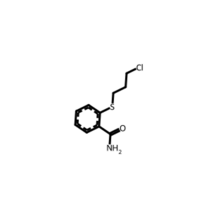 NC(=O)c1ccccc1SCCCCl